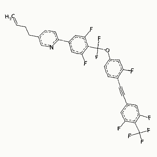 C=CCCc1ccc(-c2cc(F)c(C(F)(F)Oc3ccc(C#Cc4cc(F)c(C(F)(F)F)c(F)c4)c(F)c3)c(F)c2)nc1